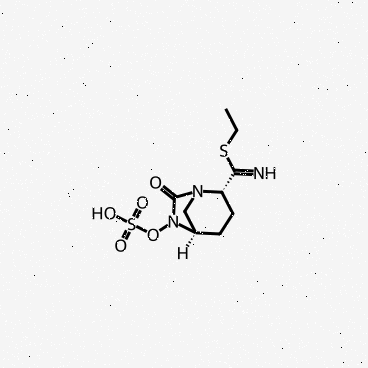 CCSC(=N)[C@@H]1CC[C@@H]2CN1C(=O)N2OS(=O)(=O)O